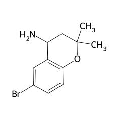 CC1(C)CC(N)c2cc(Br)ccc2O1